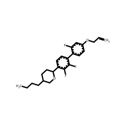 C=CCOc1ccc(-c2ccc(C3CCC(CCCC)CO3)c(F)c2F)c(F)c1